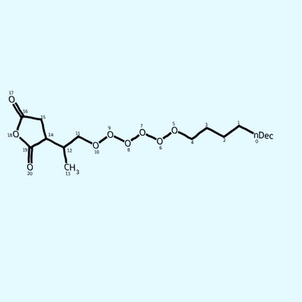 CCCCCCCCCCCCCCOOOOOOCC(C)C1CC(=O)OC1=O